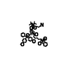 COc1ccc(C(OCC2C[C@@H](OP(OCCC#N)N(C(C)C)C(C)C)CN2C(=O)CCCCCN2C(=O)c3ccccc3C2=O)(c2ccccc2)c2ccc(OC)cc2)cc1